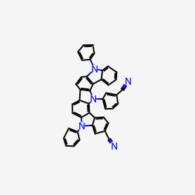 N#Cc1cccc(-n2c3c(ccc4c3c3ccccc3n4-c3ccccc3)c3ccc4c(c5ccc(C#N)cc5n4-c4ccccc4)c32)c1